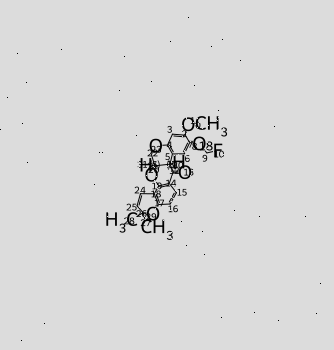 COc1cc2c(cc1OC[18F])[C@@H]1C(=O)c3ccc4c(c3O[C@@H]1CO2)C=CC(C)(C)O4